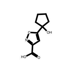 O=C(O)c1cc(C2(O)CCCC2)on1